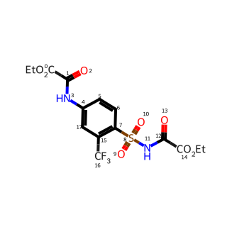 CCOC(=O)C(=O)Nc1ccc(S(=O)(=O)NC(=O)C(=O)OCC)c(C(F)(F)F)c1